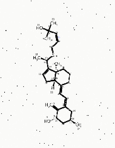 C=C1C(=CC=C2CCC[C@]3(C)C([C@@H](C)SC/C=C\C(C)(C)O)=CC[C@@H]23)C[C@@H](O)C[C@@H]1O